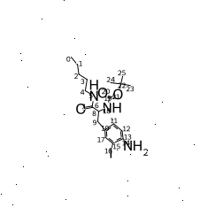 CCCCCNC(=O)C(Cc1ccc(N)c(I)c1)NC(=O)OC(C)(C)C